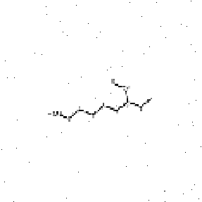 CCC(CCCCCO)OC